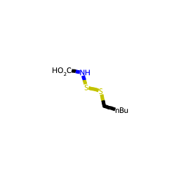 CCCCCSSNC(=O)O